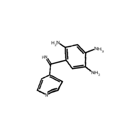 N=C(c1ccncc1)c1cc(N)c(N)cc1N